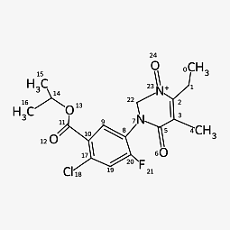 CCC1=C(C)C(=O)N(c2cc(C(=O)OC(C)C)c(Cl)cc2F)C[N+]1=O